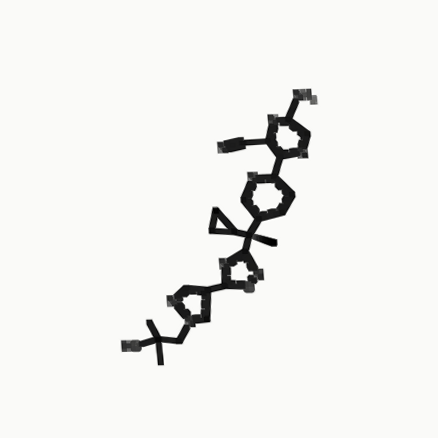 CC(C)(O)Cn1cc(-c2nc([C@@](C)(c3ccc(-c4ncc(N)nc4C#N)nc3)C3CC3)no2)cn1